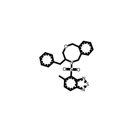 Cc1ccc2nsnc2c1S(=O)(=O)N1Cc2ccccc2COCC1Cc1ccccc1